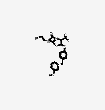 CSc1ccc[n+](Cc2ccc(SC3SC4[C@@H](CCO)C(=O)N4C3C(=O)[O-])cc2)c1